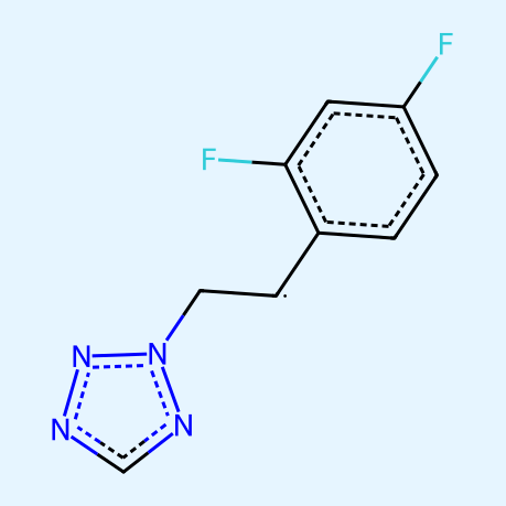 Fc1ccc([CH]Cn2ncnn2)c(F)c1